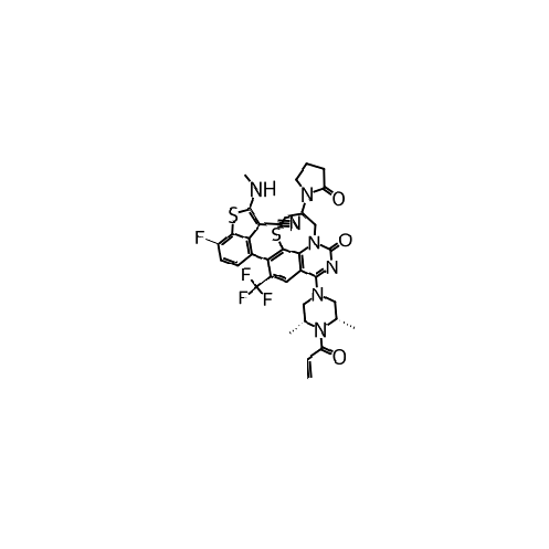 C=CC(=O)N1[C@H](C)CN(c2nc(=O)n3c4c(c(-c5ccc(F)c6sc(NC)c(C#N)c56)c(C(F)(F)F)cc24)SCC(N2CCCC2=O)C3)C[C@@H]1C